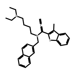 C=C=C(c1sc2ccccc2c1C)N(CCCCN(CC)CC)Cc1ccc2ccccc2c1